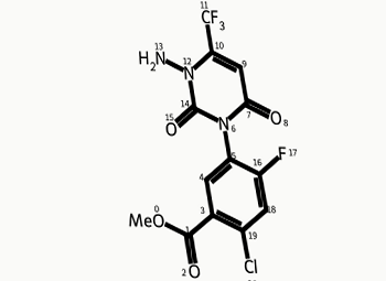 COC(=O)c1cc(-n2c(=O)cc(C(F)(F)F)n(N)c2=O)c(F)cc1Cl